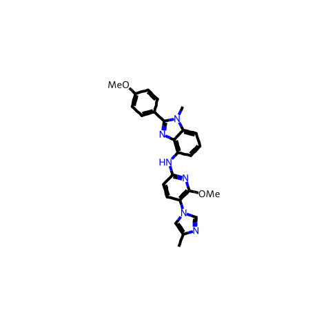 COc1ccc(-c2nc3c(Nc4ccc(-n5cnc(C)c5)c(OC)n4)cccc3n2C)cc1